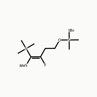 CSC(=C(F)CCO[Si](C)(C)C(C)(C)C)[Si](C)(C)C